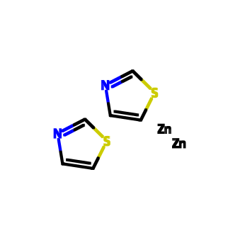 [Zn].[Zn].c1cscn1.c1cscn1